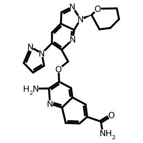 NC(=O)c1ccc2nc(N)c(OCc3nc4c(cnn4[C@@H]4CCCCO4)cc3-n3cccn3)cc2c1